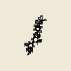 Cc1cn2cc(-c3cc(F)c4nn(C5CCN(C(=O)OC(C)(C)C)CC5)cc4c3)cc(F)c2n1